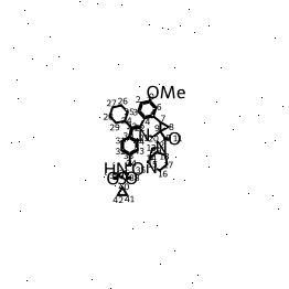 COc1ccc2c(c1)C1CC1(C(=O)N1CC3=NCCC1C3)Cn1c-2c(C2CCCCC2)c2ccc(C(=O)NS(=O)(=O)C3CC3)cc21